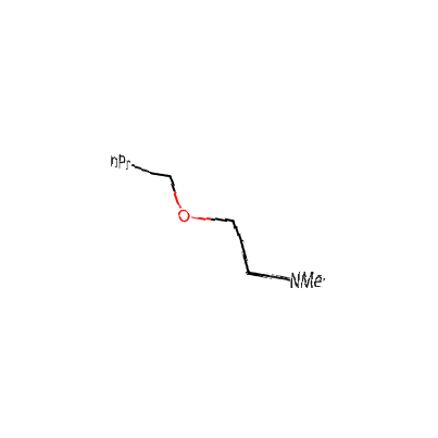 CCCCOCC[N]C